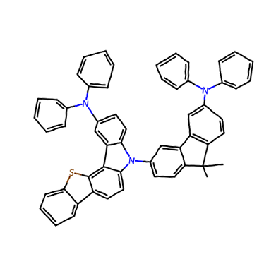 CC1(C)c2ccc(N(c3ccccc3)c3ccccc3)cc2-c2cc(-n3c4ccc(N(c5ccccc5)c5ccccc5)cc4c4c5sc6ccccc6c5ccc43)ccc21